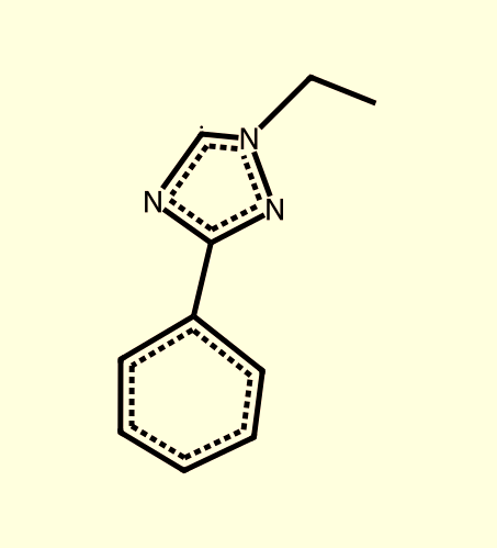 CCn1[c]nc(-c2ccccc2)n1